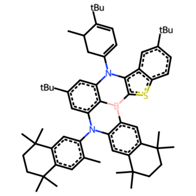 Cc1cc2c(cc1N1c3cc4c(cc3B3c5sc6ccc(C(C)(C)C)cc6c5N(C5=CC=C(C(C)(C)C)C(C)C5)c5cc(C(C)(C)C)cc1c53)C(C)(C)CCC4(C)C)C(C)(C)CCC2(C)C